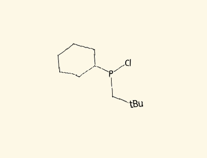 CC(C)(C)CP(Cl)C1CCCCC1